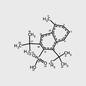 Cc1cccc2c(C(C)(C)C)c(S(=O)(=O)O)c(C(C)(C)C)cc12